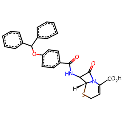 O=C(O)C1=CCS[C@@H]2C(NC(=O)c3ccc(OC(c4ccccc4)c4ccccc4)cc3)C(=O)N12